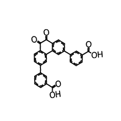 O=C(O)c1cccc(-c2ccc3c(c2)-c2cc(-c4cccc(C(=O)O)c4)ccc2C(=O)C3=O)c1